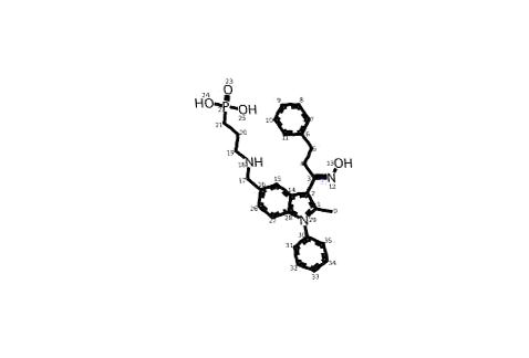 Cc1c(/C(CCc2ccccc2)=N/O)c2cc(CNCCCP(=O)(O)O)ccc2n1-c1ccccc1